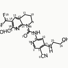 N#Cc1cnc(NC(=O)N2CCCc3cc(C(F)F)c(C=O)nc32)cc1NCCO